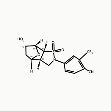 N#Cc1ccc(N2C[C@H]3[C@H]([C@@H]4O[C@H]3C[C@@H]4O)S2(=O)=O)cc1C(F)(F)F